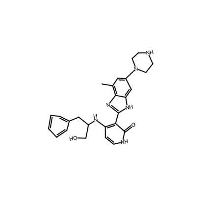 Cc1cc(N2CCNCC2)cc2[nH]c(-c3c(NC(CO)Cc4ccccc4)cc[nH]c3=O)nc12